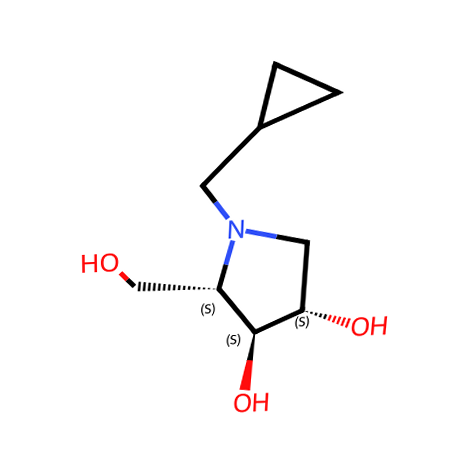 OC[C@H]1[C@H](O)[C@@H](O)CN1CC1CC1